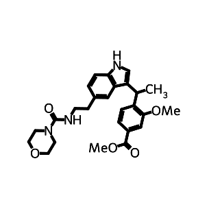 COC(=O)c1ccc(C(C)c2c[nH]c3ccc(CCNC(=O)N4CCOCC4)cc23)c(OC)c1